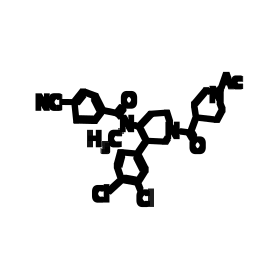 CC(=O)N1CCC(C(=O)N2CCC(N(C)C(=O)c3ccc(C#N)cc3)C(c3ccc(Cl)c(Cl)c3)C2)CC1